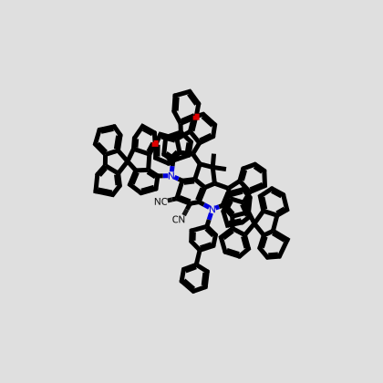 [C-]#[N+]c1c(C#N)c(N(c2ccc(-c3ccccc3)cc2)c2cccc3c2-c2ccccc2C32c3ccccc3-c3ccccc32)c2c(c1N(c1ccc(-c3ccccc3)cc1)c1cccc3c1-c1ccccc1C31c3ccccc3-c3ccccc31)C(C1c3ccccc3-c3ccccc31)C(C)(C)C2C1c2ccccc2-c2ccccc21